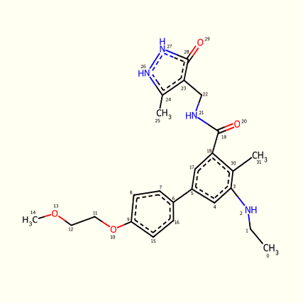 CCNc1cc(-c2ccc(OCCOC)cc2)cc(C(=O)NCc2c(C)[nH][nH]c2=O)c1C